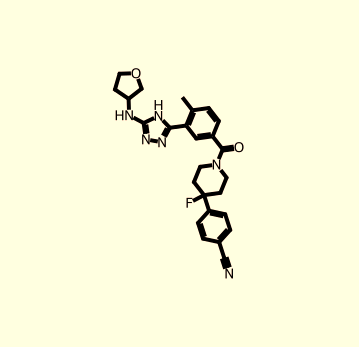 Cc1ccc(C(=O)N2CCC(F)(c3ccc(C#N)cc3)CC2)cc1-c1nnc(NC2CCOC2)[nH]1